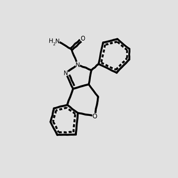 NC(=O)N1N=C2c3ccccc3OCC2C1c1ccccc1